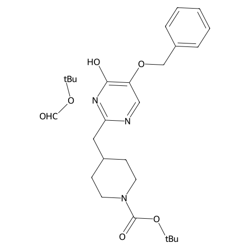 CC(C)(C)OC(=O)N1CCC(Cc2ncc(OCc3ccccc3)c(O)n2)CC1.CC(C)(C)OC=O